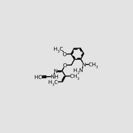 C#CN/N=C(OCc1c(OC)cccc1N(C)N)\C(C)=C/C